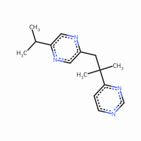 CC(C)c1cnc(CC(C)(C)c2ccncn2)cn1